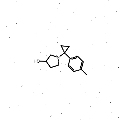 Cc1ccc(C2(N3CCC(O)C3)CC2)cc1